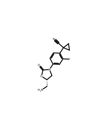 N#CC1(c2ccc(N3C[C@H](CN)OC3=O)cc2F)CC1